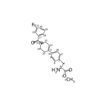 COC(=O)[C@@H](N)Cc1ccc(C2=CCN(C(=O)c3cccc(F)c3)CC2)cc1